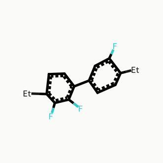 CCc1ccc(-c2ccc(CC)c(F)c2F)cc1F